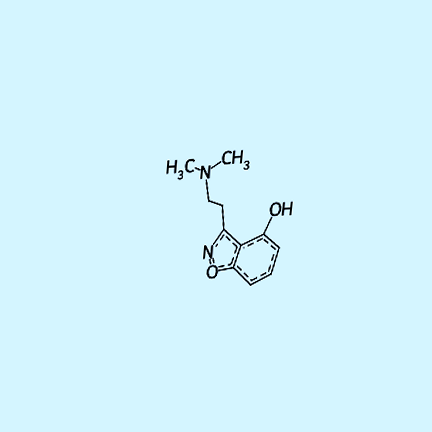 CN(C)CCc1noc2cccc(O)c12